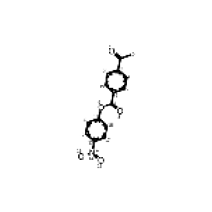 CC(=O)c1ccc(C(=O)Oc2ccc([N+](=O)[O-])cc2)cc1